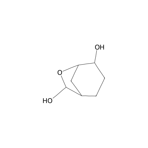 OC1CCC2CC1OC2O